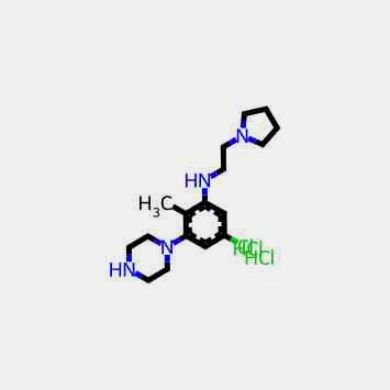 Cc1c(NCCN2CCCC2)cc(Cl)cc1N1CCNCC1.Cl.Cl